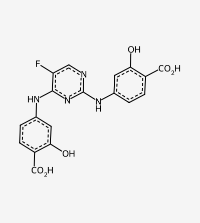 O=C(O)c1ccc(Nc2ncc(F)c(Nc3ccc(C(=O)O)c(O)c3)n2)cc1O